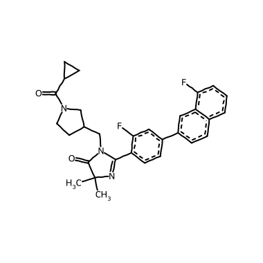 CC1(C)N=C(c2ccc(-c3ccc4cccc(F)c4c3)cc2F)N(CC2CCN(C(=O)C3CC3)C2)C1=O